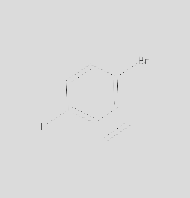 C=C.Fc1ccc(Br)cc1